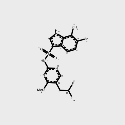 COc1nc(NS(=O)(=O)c2c[nH]c3c(C)c(Br)ccc23)ncc1CC(F)F